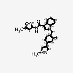 Cc1cc(NC(=O)c2cn(Cc3ccc(-c4cnn(C)c4)cc3F)c3ccccc23)no1